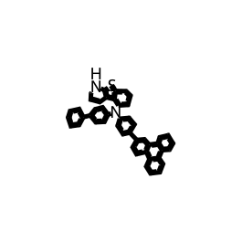 C1=Cc2c(sc3cccc(N(c4ccc(-c5ccccc5)cc4)c4ccc(-c5ccc6c7ccccc7c7ccccc7c6c5)cc4)c23)NC1